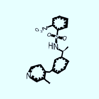 Cc1cnccc1-c1cccc([C@H](C)NS(=O)(=O)c2ccccc2[N+](=O)[O-])c1